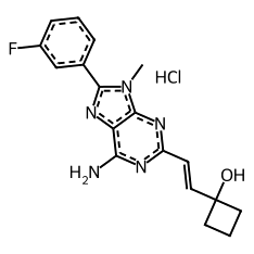 Cl.Cn1c(-c2cccc(F)c2)nc2c(N)nc(C=CC3(O)CCC3)nc21